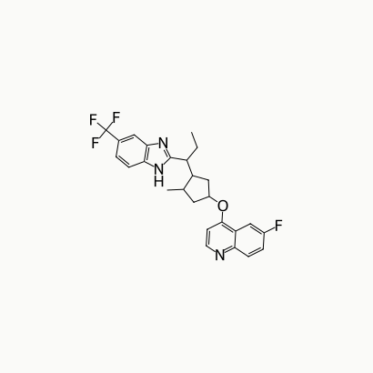 CCC(c1nc2cc(C(F)(F)F)ccc2[nH]1)C1CC(Oc2ccnc3ccc(F)cc23)CC1C